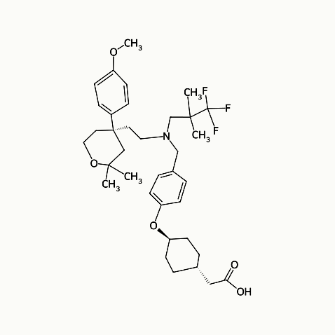 COc1ccc([C@]2(CCN(Cc3ccc(O[C@H]4CC[C@H](CC(=O)O)CC4)cc3)CC(C)(C)C(F)(F)F)CCOC(C)(C)C2)cc1